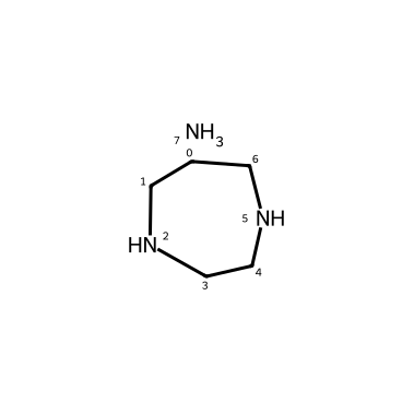 C1CNCCNC1.N